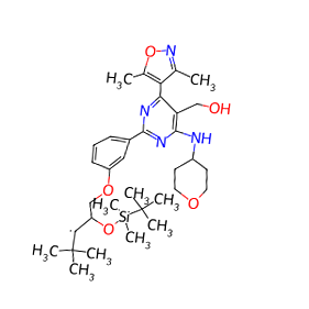 Cc1noc(C)c1-c1nc(-c2cccc(OCC([CH]C(C)(C)C)O[Si](C)(C)C(C)(C)C)c2)nc(NC2CCOCC2)c1CO